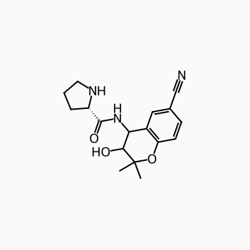 CC1(C)Oc2ccc(C#N)cc2C(NC(=O)[C@@H]2CCCN2)C1O